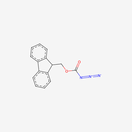 [N-]=[N+]=NC(=O)OCC1c2ccccc2-c2ccccc21